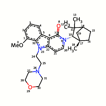 COc1cccc2c3c(=O)n([C@@H]4C(C)(C)C5CC[C@@]4(C)C5)ccc3n(CCN3CCOCC3)c12